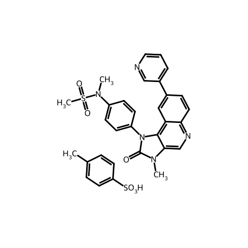 CN(c1ccc(-n2c(=O)n(C)c3cnc4ccc(-c5cccnc5)cc4c32)cc1)S(C)(=O)=O.Cc1ccc(S(=O)(=O)O)cc1